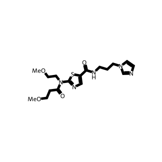 COCCC(=O)N(CCOC)c1ncc(C(=O)NCCCn2ccnc2)s1